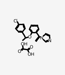 C=C(c1ccccc1OC(C)c1ccc(Cl)cc1)n1ccnc1.O=C(O)C(=O)O